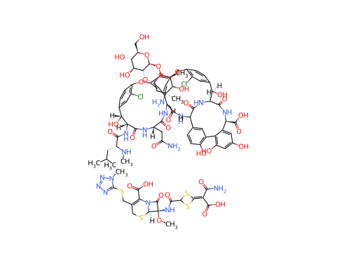 CN[C@H](CC(C)C)C(=O)N[C@H]1C(=O)N[C@@H](CC(N)=O)C(=O)N[C@H]2C(=O)N[C@H]3C(=O)N[C@H](C(=O)N[C@@H](C(=O)O)c4cc(O)cc(O)c4-c4cc3ccc4O)[C@H](O)c3ccc(c(Cl)c3)Oc3cc2cc(c3O[C@@H]2O[C@H](CO)[C@@H](O)[C@H](O)[C@H]2O[C@H]2C[C@](C)(N)C(O)[C@H](C)O2)Oc2ccc(cc2Cl)[C@H]1O.CO[C@@]1(NC(=O)C2SC(=C(C(N)=O)C(=O)O)S2)C(=O)N2C(C(=O)O)=C(CSc3nnnn3C)CS[C@@H]21